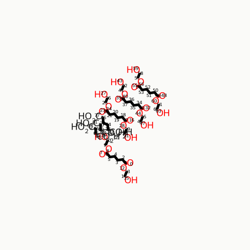 O=C(CCCCC(=O)OCCO)OCCO.O=C(CCCCC(=O)OCCO)OCCO.O=C(CCCCC(=O)OCCO)OCCO.O=C(CCCCC(=O)OCCO)OCCO.O=C(O)CCC(=O)O.O=C(O)CCC(=O)O.O=C(O)CCCCC(=O)O